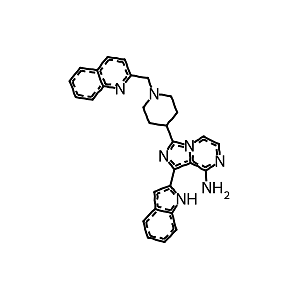 Nc1nccn2c(C3CCN(Cc4ccc5ccccc5n4)CC3)nc(-c3cc4ccccc4[nH]3)c12